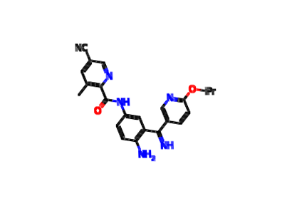 Cc1cc(C#N)cnc1C(=O)Nc1ccc(N)c(C(=N)c2ccc(OC(C)C)nc2)c1